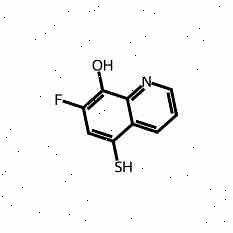 Oc1c(F)cc(S)c2cccnc12